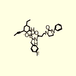 CC#CC1CC(CC)C[C@H]2OB([C@H](Cc3ccc(F)cc3)NC(=O)CCN3CCN(c4ccccc4)C3=O)O[C@@]12C